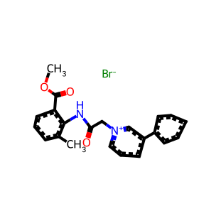 COC(=O)c1cccc(C)c1NC(=O)C[n+]1cccc(-c2ccccc2)c1.[Br-]